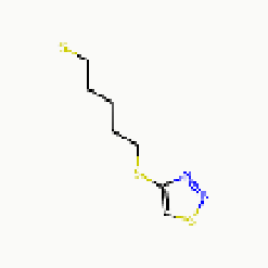 [S]CCCCCSc1csnn1